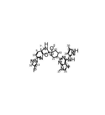 CO[C@]1(C(=O)N[C@@H](C)c2ccc(-n3cc(F)cn3)nc2)CC[C@@H](c2nc(Nc3cc(C)[nH]n3)c3ncn(C)c3n2)CC1